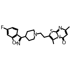 Cc1cc(=O)n2c(C)c(CCN3CCC(c4noc5cc(F)ccc45)CC3)sc2n1